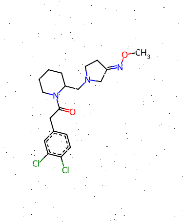 CON=C1CCN(CC2CCCCN2C(=O)Cc2ccc(Cl)c(Cl)c2)C1